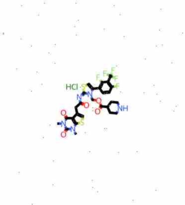 Cl.Cn1c(=O)c2c(CC(=O)N=c3scc(-c4ccc(F)c(C(F)(F)F)c4F)n3COC(=O)C3CCNCC3)csc2n(C)c1=O